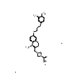 CC1=C(CN2CC(C(=O)O)C2)CCc2cc(OCCCc3ccc(C)c(C)c3)ccc21